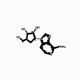 CNc1nccc2c1ncn2[C@@H]1CC(CO)[C@@H](O)[C@H]1O